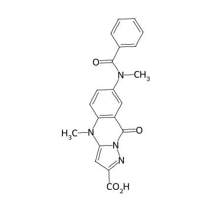 CN(C(=O)c1ccccc1)c1ccc2c(c1)c(=O)n1nc(C(=O)O)cc1n2C